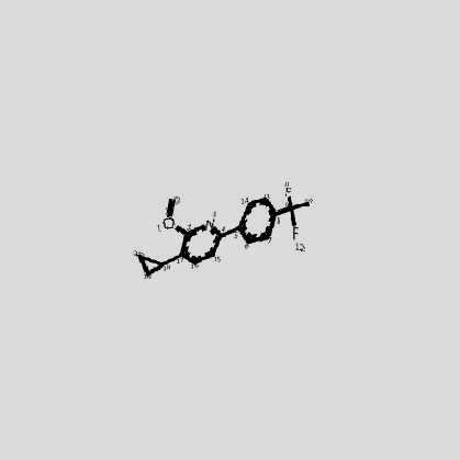 COc1nc(-c2ccc(C(C)(F)F)cc2)ccc1C1CC1